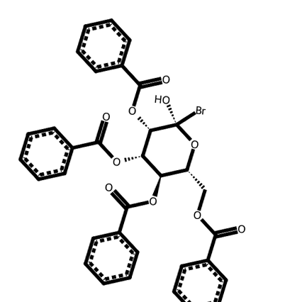 O=C(OC[C@H]1O[C@](O)(Br)[C@@H](OC(=O)c2ccccc2)[C@@H](OC(=O)c2ccccc2)[C@@H]1OC(=O)c1ccccc1)c1ccccc1